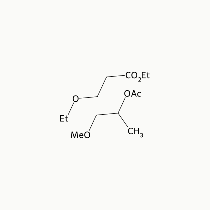 CCOCCC(=O)OCC.COCC(C)OC(C)=O